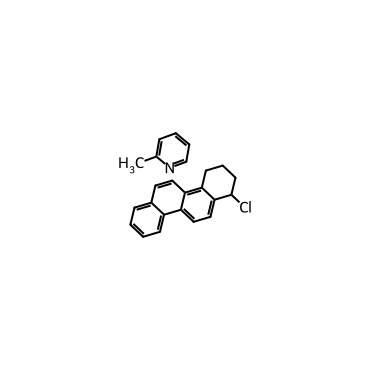 Cc1ccccn1.ClC1CCCc2c1ccc1c2ccc2ccccc21